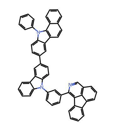 c1ccc(-n2c3ccc(-c4ccc5c(c4)c4ccccc4n5-c4cccc(-c5ncc6cccc7c6c5-c5ccccc5-7)c4)cc3c3ccc4ccccc4c32)cc1